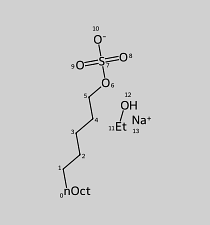 CCCCCCCCCCCCCOS(=O)(=O)[O-].CCO.[Na+]